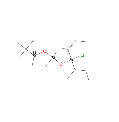 CCC(C)[Si](Cl)(O[Si](C)(C)O[SiH](C)C(C)(C)C)C(C)CC